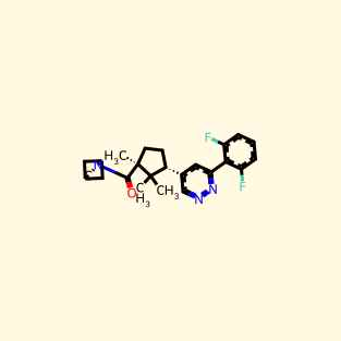 CC1(C)[C@@H](c2cnnc(-c3c(F)cccc3F)c2)CC[C@]1(C)C(=O)N1CC2CC1C2